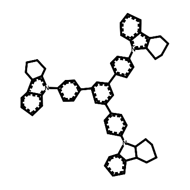 c1ccc2c(c1)C1CCCCC1N2c1ccc(-c2cc(-c3ccc(-n4c5c(c6ccccc64)CCCC5)cc3)cc(-c3ccc(-n4c5c(c6ccccc64)CCCC5)cc3)c2)cc1